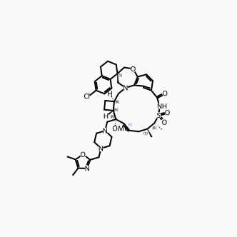 CO[C@@]1(CN2CCN(Cc3nc(C)c(C)o3)CC2)/C=C/C[C@H](C)[C@@H](C)S(=O)(=O)NC(=O)c2ccc3c(c2)N(C[C@@H]2CC[C@H]21)C[C@@]1(CCCc2cc(Cl)ccc21)CO3